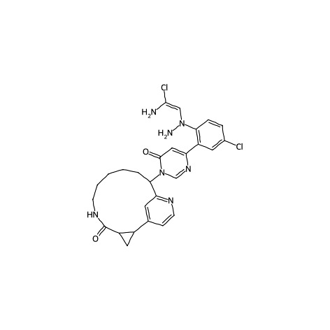 N/C(Cl)=C\N(N)c1ccc(Cl)cc1-c1cc(=O)n(C2CCCCCNC(=O)C3CC3c3ccnc2c3)cn1